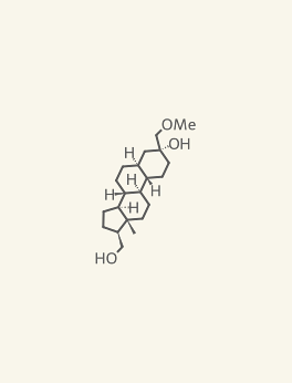 COC[C@@]1(O)CC[C@H]2[C@@H](CC[C@@H]3[C@@H]2CC[C@]2(C)[C@@H](CO)CC[C@@H]32)C1